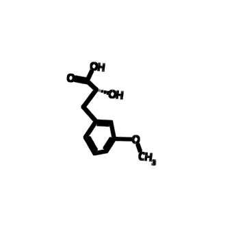 COc1cccc(C[C@@H](O)C(=O)O)c1